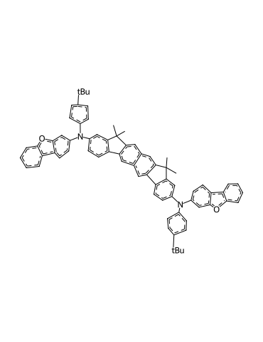 CC(C)(C)c1ccc(N(c2ccc3c(c2)C(C)(C)c2cc4cc5c(cc4cc2-3)-c2ccc(N(c3ccc(C(C)(C)C)cc3)c3ccc4c(c3)oc3ccccc34)cc2C5(C)C)c2ccc3c(c2)oc2ccccc23)cc1